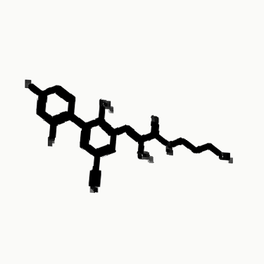 CCCCNC(=O)/C(C)=C/c1cc(C#N)cc(-c2ccc(F)cc2F)c1C